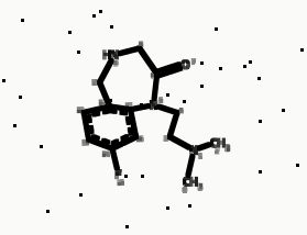 CN(C)CCN1C(=O)CNCc2ccc(F)cc21